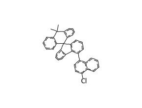 CC1(C)c2ccccc2C2(c3ccccc3-c3c(-c4ccc(Cl)c5ccccc45)cccc32)c2ccccc21